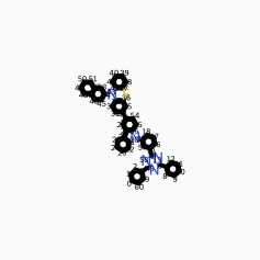 c1ccc(-c2nc(-c3ccccc3)nc(-c3cccc(-n4c5ccccc5c5cc(-c6ccc7c(c6)Sc6ccccc6N7c6ccc7ccccc7c6)ccc54)c3)n2)cc1